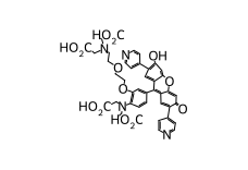 O=C(O)CN(CCOCCOc1cc(-c2c3cc(-c4ccncc4)c(=O)cc-3oc3cc(O)c(-c4ccncc4)cc23)ccc1N(CC(=O)O)CC(=O)O)CC(=O)O